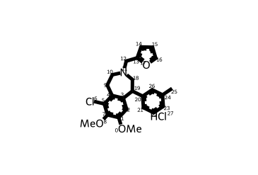 COc1cc2c(c(Cl)c1OC)CCN(Cc1ccco1)CC2c1cccc(C)c1.Cl